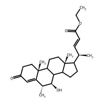 CCOC(=O)/C=C/[C@@H](C)C1CCC2C3C(CC[C@@]21C)[C@@]1(C)CCC(=O)C=C1[C@@H](C)[C@@H]3O